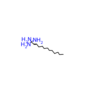 CCCCCCCCCCC=CC(N)(N)N